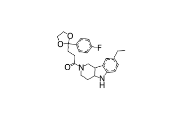 CCc1ccc2c(c1)C1CN(C(=O)CCC3(c4ccc(F)cc4)OCCO3)CCC1N2